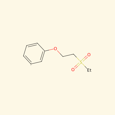 CCS(=O)(=O)CCOc1c[c]ccc1